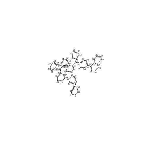 c1ccc(-c2ccc(-c3cc(N(c4ccccc4)c4ccc(-c5cccc6ccccc56)cc4)ccc3-c3ccccc3-n3c4ccccc4c4ccccc43)cc2)cc1